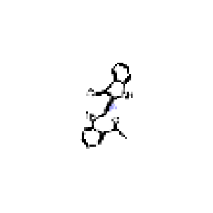 CC(=O)c1ccccc1N/C=C1/Nc2ccccc2C1=O